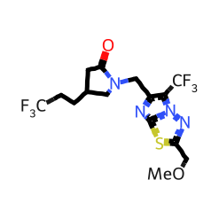 COCc1nn2c(C(F)(F)F)c(CN3CC(CCC(F)(F)F)CC3=O)nc2s1